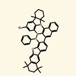 CC(C)(C)c1cc2c3c(c1)C1(C)CCCCC1(C)N3c1c3c(cc4ccccc14)-c1ccc4c(oc5cc6c(cc54)C(C)(C)CCC6(C)C)c1N(c1ccccc1)B23